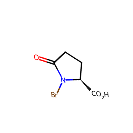 O=C(O)[C@@H]1CCC(=O)N1Br